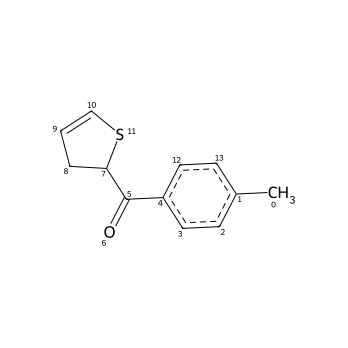 Cc1ccc(C(=O)C2CC=CS2)cc1